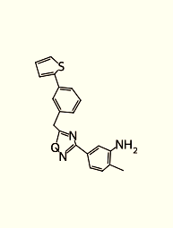 Cc1ccc(-c2noc(Cc3cccc(-c4cccs4)c3)n2)cc1N